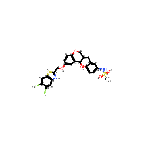 O=S(=O)(Nc1cccc(CC2COc3ccc(OCc4nc5cc(F)c(F)cc5s4)cc3C2O)c1)C(F)(F)F